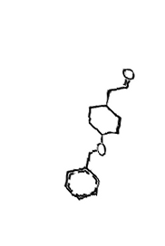 O=CC[C@H]1CC[C@@H](OCc2ccccc2)CC1